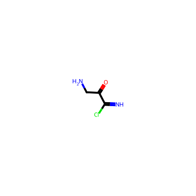 N=C(Cl)C(=O)CN